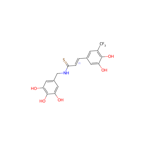 Oc1cc(CNC(=S)/C=C/c2cc(O)c(O)c(C(F)(F)F)c2)cc(O)c1O